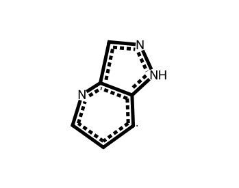 [c]1ccnc2cn[nH]c12